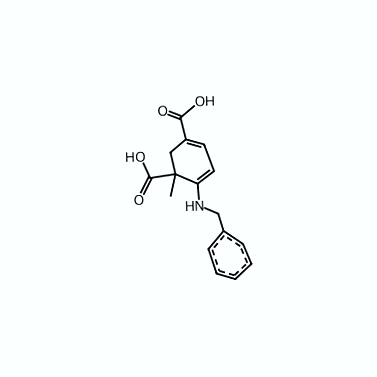 CC1(C(=O)O)CC(C(=O)O)=CC=C1NCc1ccccc1